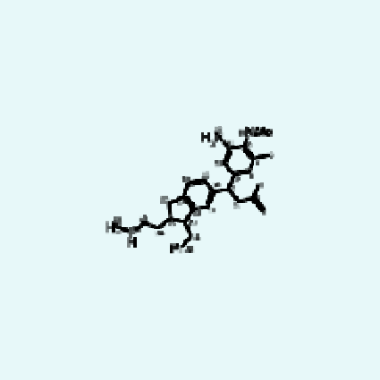 C=C(C)CC(c1cc(C)c(NC)c(N)c1)c1ccc2c(c1)C(CC(C)C)C(CCPS)C2